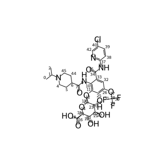 CC(C)N1CCC(C(=O)Nc2c(O[C@@H]3O[C@H](C(=O)O)[C@@H](O)[C@H](O)[C@H]3O)cc(OC(F)(F)F)cc2C(=O)Nc2ccc(Cl)cn2)CC1